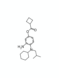 CC(C)CN(c1ccc(OC(=O)C2CCC2)cc1N)C1CCCCC1